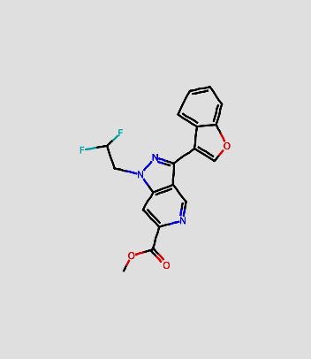 COC(=O)c1cc2c(cn1)c(-c1coc3ccccc13)nn2CC(F)F